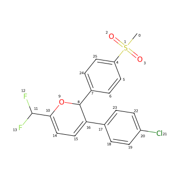 CS(=O)(=O)c1ccc(C2OC(C(F)F)=CC=C2c2ccc(Cl)cc2)cc1